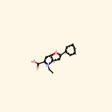 CCn1c(C(=O)O)cc2oc(-c3ccccc3)cc21